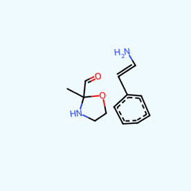 CC1(C=O)NCCO1.NC=Cc1ccccc1